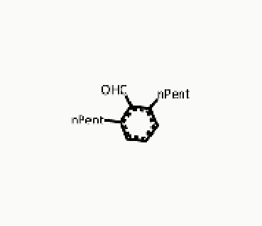 CCCCCc1cccc(CCCCC)c1C=O